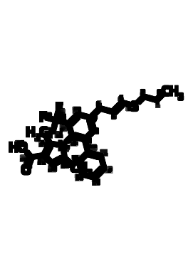 CCCSC=CCc1cc(-c2ccccc2)c(-n2c(C)cc(C(=O)O)c2C)c(C(F)(F)F)c1